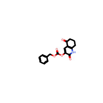 O=C(OCc1ccccc1)Oc1cc2c([nH]c1=O)CCCC2=O